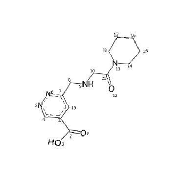 O=C(O)c1cnnc(CNCC(=O)N2CCCCC2)c1